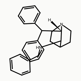 c1ccc(CNC2C3CCN(CC3)[C@H]2C(c2ccccc2)c2ccccc2)cc1